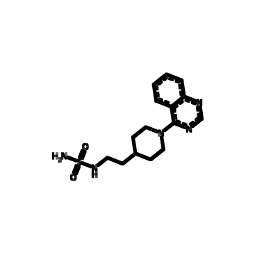 NS(=O)(=O)NCCC1CCN(c2ncnc3ccccc23)CC1